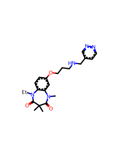 CCN1C(=O)C(C)(C)C(=O)N(C)c2cc(OCCCNCc3ccnnc3)ccc21